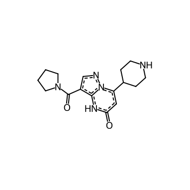 O=C(c1cnn2c(C3CCNCC3)cc(=O)[nH]c12)N1CCCC1